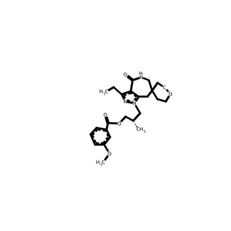 CCc1nn(C[C@H](C)COC(=O)c2cccc(OC)c2)c2c1C(=O)NCC1(CCOCC1)C2